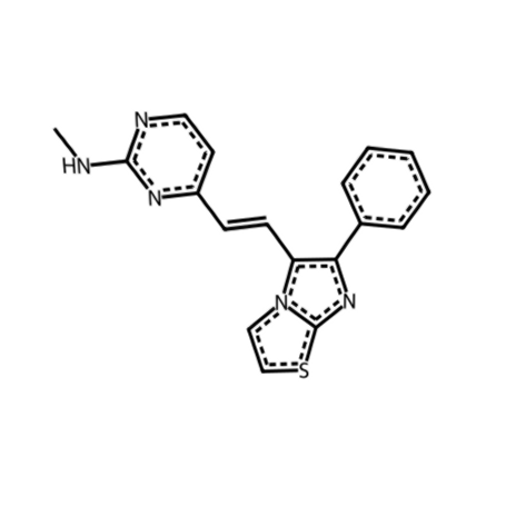 CNc1nccc(C=Cc2c(-c3ccccc3)nc3sccn23)n1